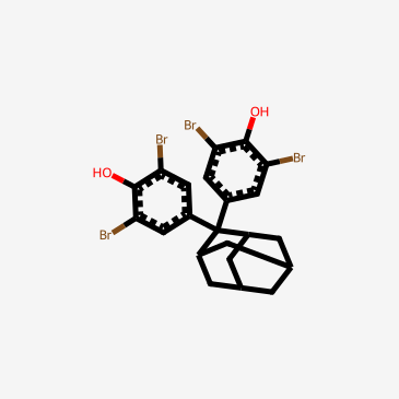 Oc1c(Br)cc(C2(c3cc(Br)c(O)c(Br)c3)C3CC4CC(C3)CC2C4)cc1Br